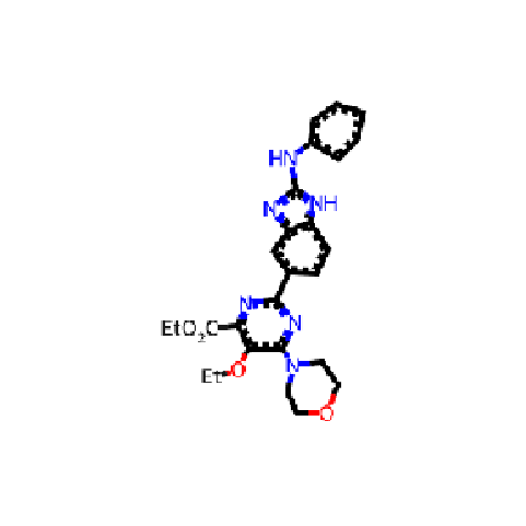 CCOC(=O)c1nc(-c2ccc3[nH]c(Nc4ccccc4)nc3c2)nc(N2CCOCC2)c1OCC